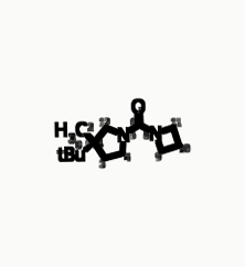 CC(C)(C)[C@]1(C)CCN(C(=O)N2CCC2)C1